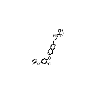 CC(=O)NCCc1ccc2cc(Oc3ccc(Oc4nccs4)cc3Cl)ccc2c1